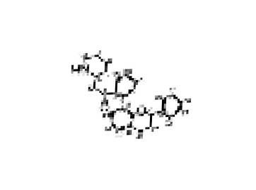 c1ccc(C(CC2CCCCN2)Oc2ccc3c(c2)OC(c2ccccc2)CC3)cc1